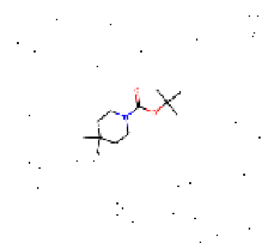 [CH]C1([CH])CCN(C(=O)OC(C)(C)C)CC1